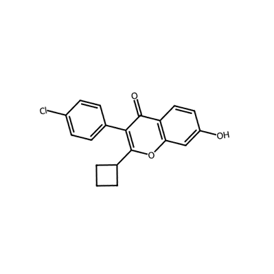 O=c1c(-c2ccc(Cl)cc2)c(C2CCC2)oc2cc(O)ccc12